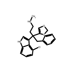 CNCCC(Cc1ccccc1)(C1=COCO1)c1c[nH]c2cccc(Cl)c12